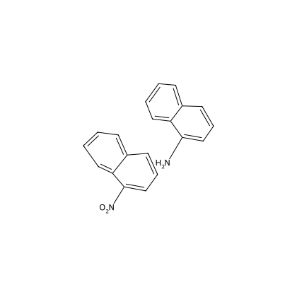 Nc1cccc2ccccc12.O=[N+]([O-])c1cccc2ccccc12